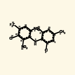 Cc1nc(Cl)c(Nc2c([N+](=O)[O-])cc(C(F)(F)F)c(Cl)c2[N+](=O)[O-])c(Cl)n1